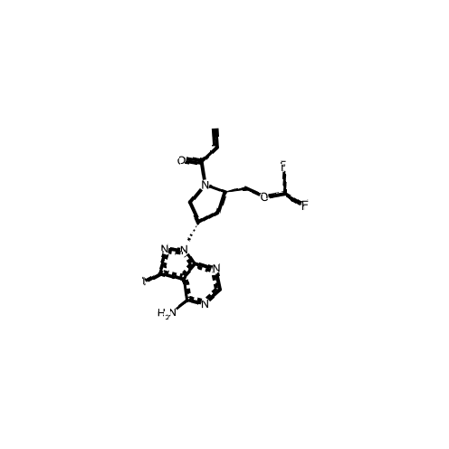 C=CC(=O)N1C[C@@H](n2nc(I)c3c(N)ncnc32)C[C@@H]1COC(F)F